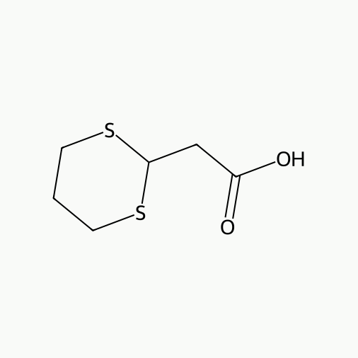 O=C(O)CC1SCCCS1